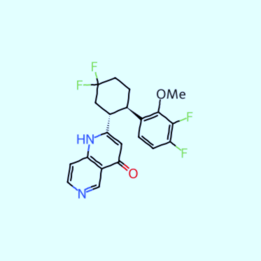 COc1c([C@@H]2CCC(F)(F)C[C@H]2c2cc(=O)c3cnccc3[nH]2)ccc(F)c1F